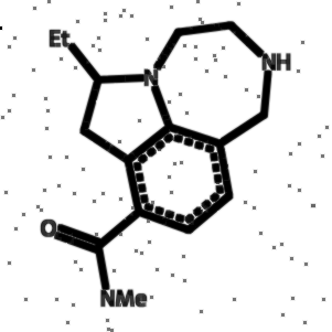 CCC1Cc2c(C(=O)NC)ccc3c2N1CCNC3